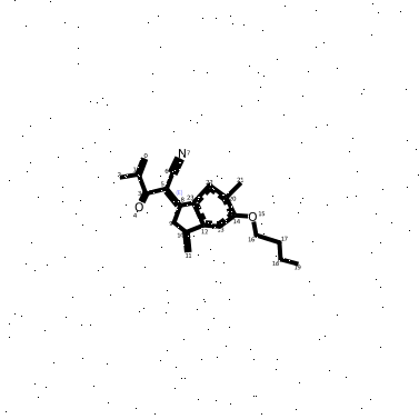 C=C(C)C(=O)/C(C#N)=C1\CC(=C)c2cc(OCCCC)c(C)cc21